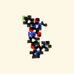 CCn1cc(C(=O)Nc2ccc(Oc3cc(-c4cnsc4)cn4nccc34)c(F)c2)c(=O)n(-c2ccc(F)cc2)c1=O